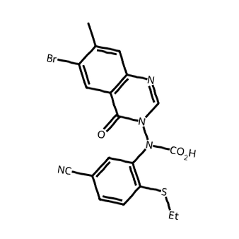 CCSc1ccc(C#N)cc1N(C(=O)O)n1cnc2cc(C)c(Br)cc2c1=O